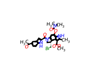 COC(=O)c1c(C)[nH]c2c(OC(=O)N(C)C)cc3c(c12)[C@H](CBr)CN3C(=O)c1cc2cc(C(C)=O)ccc2[nH]1